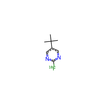 CC(C)(C)c1cnc([18F])nc1